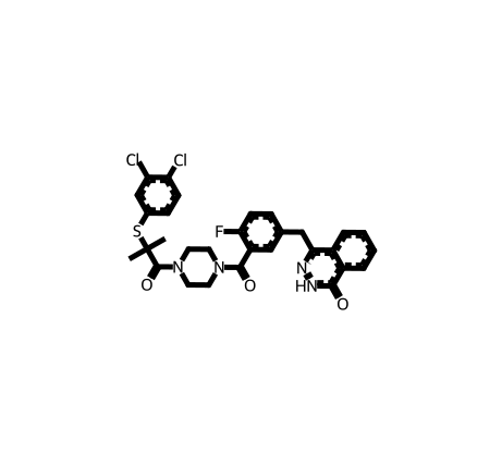 CC(C)(Sc1ccc(Cl)c(Cl)c1)C(=O)N1CCN(C(=O)c2cc(Cc3n[nH]c(=O)c4ccccc34)ccc2F)CC1